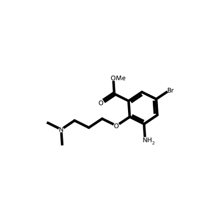 COC(=O)c1cc(Br)cc(N)c1OCCCN(C)C